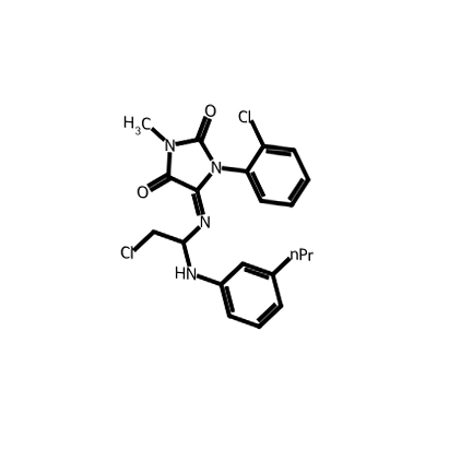 CCCc1cccc(NC(CCl)N=C2C(=O)N(C)C(=O)N2c2ccccc2Cl)c1